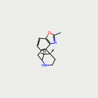 Cc1nc2c3c(ccc2o1)CC1NCC[C@]3(C)[C@@H]1C